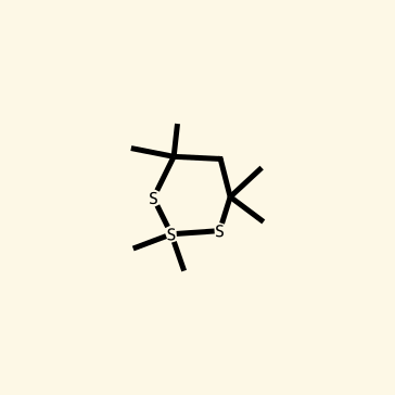 CC1(C)CC(C)(C)SS(C)(C)S1